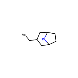 CC(=O)CC1CC2CCC(C1)N2